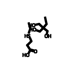 CCC.CCC(CO)(CO)CO.O=C(O)CCS